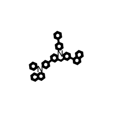 c1ccc(-c2ccc(N3c4ccc(-c5ccc(N(c6ccccc6)c6cccc7ccccc67)cc5)cc4Cc4cc(-c5cccc6ccccc56)ccc43)cc2)cc1